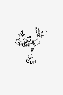 COCC(=O)Nc1ccc(C#Cc2ccc(C(=O)O)nc2)c(NS(=O)(=O)c2ccc(OC)c3cccnc23)c1